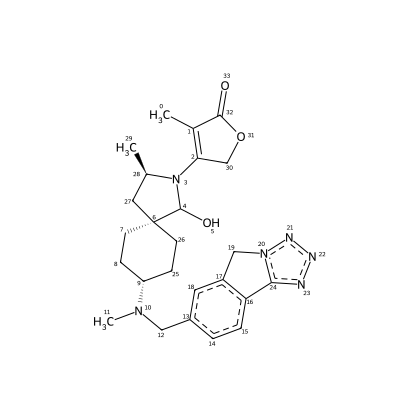 CC1=C(N2C(O)[C@]3(CC[C@@H](N(C)Cc4ccc5c(c4)Cn4nnnc4-5)CC3)C[C@H]2C)COC1=O